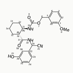 COc1cccc(COC(=O)N[C@@H]2CCCC[C@H]2C(=O)NC(C#N)c2cccc(O)c2)c1